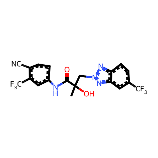 CC(O)(Cn1nc2ccc(C(F)(F)F)cc2n1)C(=O)Nc1ccc(C#N)c(C(F)(F)F)c1